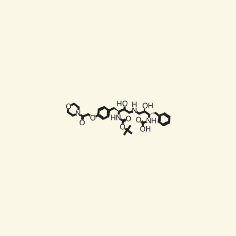 CC(C)(C)OC(=O)N[C@@H](Cc1ccc(OCC(=O)N2CCOCC2)cc1)C(O)CNC[C@@H](O)[C@H](Cc1ccccc1)NC(=O)O